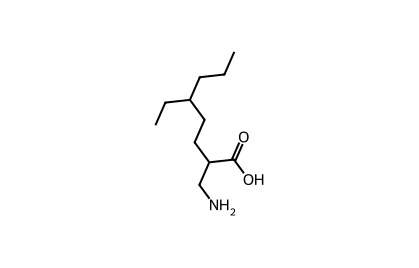 CCCC(CC)CCC(CN)C(=O)O